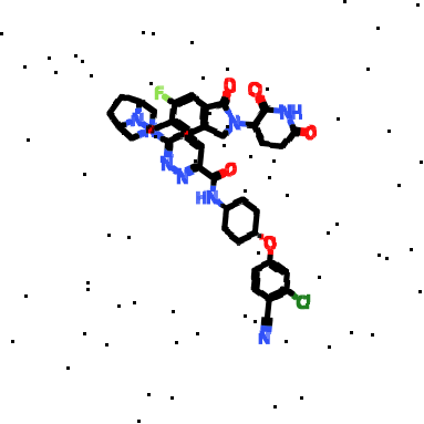 N#Cc1ccc(O[C@H]2CC[C@H](NC(=O)c3ccc(N4CC5CCC(C4)N5Cc4cc5c(cc4F)C(=O)N(C4CCC(=O)NC4=O)C5)nn3)CC2)cc1Cl